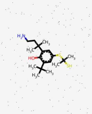 CC(C)(S)Sc1cc(C(C)(C)C)c(O)c(C(C)(C)CCN)c1